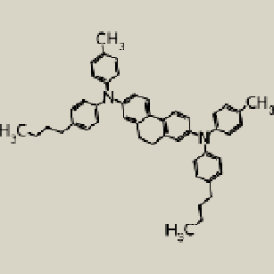 CCCCc1ccc(N(c2ccc(C)cc2)c2ccc3c(c2)CCc2cc(N(c4ccc(C)cc4)c4ccc(CCCC)cc4)ccc2-3)cc1